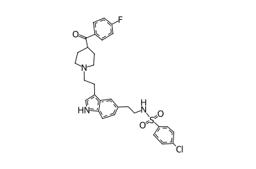 O=C(c1ccc(F)cc1)C1CCN(CCc2c[nH]c3ccc(CCNS(=O)(=O)c4ccc(Cl)cc4)cc23)CC1